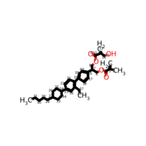 C=C(C)C(=O)OCC(COC(=O)C(=C)CO)c1ccc(-c2ccc(C3CCC(CCCCC)CC3)cc2CC)cc1